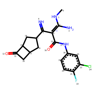 CN/C(N)=C(\C(=N)C1CC2CC(=O)C2C1)C(=O)Nc1ccc(F)c(Cl)c1